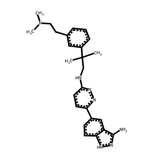 CN(C)CCc1cccc(C(C)(C)CNc2ccc(-c3ccc4[nH]nc(N)c4c3)nn2)c1